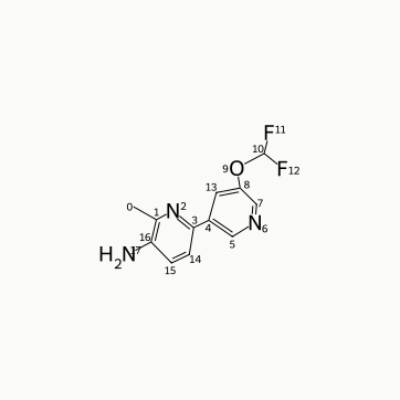 Cc1nc(-c2cncc(OC(F)F)c2)ccc1N